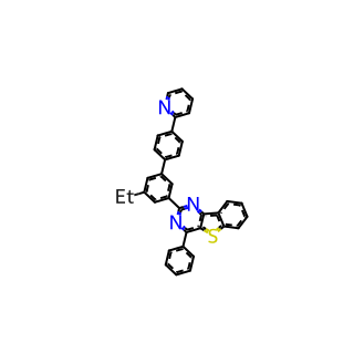 CCc1cc(-c2ccc(-c3ccccn3)cc2)cc(-c2nc(-c3ccccc3)c3sc4ccccc4c3n2)c1